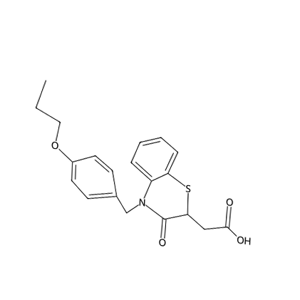 CCCOc1ccc(CN2C(=O)C(CC(=O)O)Sc3ccccc32)cc1